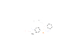 CCC(C)(C)CCOc1ccccc1NS(=O)(=O)c1ccc2c(c1)C=CC(O)N2